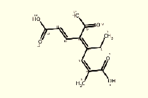 CCC(C=C(C)C(=O)O)=C(C=CC(=O)O)C(=O)O